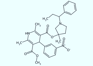 CCC(c1ccccc1)N1CCC(C)(OC(=O)C2=C(C)NC(C)=C(C(=O)OC)C2c2cccc([N+](=O)[O-])c2)C1